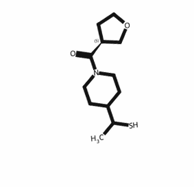 CC(S)C1CCN(C(=O)[C@H]2CCOC2)CC1